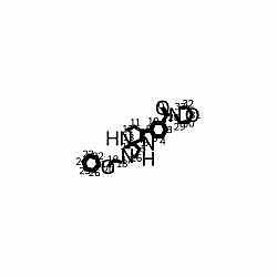 O=C(c1ccc2[nH]c3c(c2c1)CCNC31CCN(CCOc2ccccc2)C1)N1CCOCC1